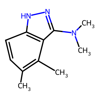 Cc1ccc2[nH]nc(N(C)C)c2c1C